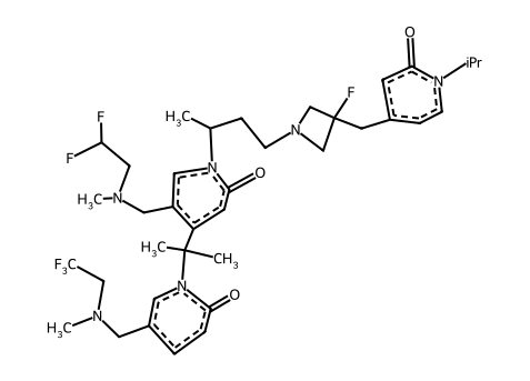 CC(C)n1ccc(CC2(F)CN(CCC(C)n3cc(CN(C)CC(F)F)c(C(C)(C)n4cc(CN(C)CC(F)(F)F)ccc4=O)cc3=O)C2)cc1=O